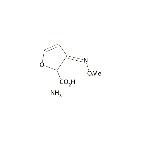 CO/N=C1/C=COC1C(=O)O.N